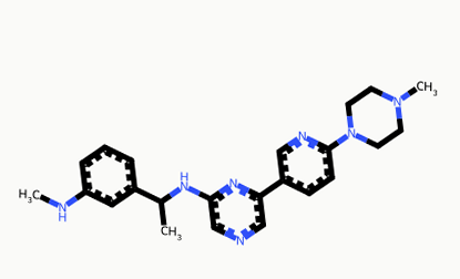 CNc1cccc(C(C)Nc2cncc(-c3ccc(N4CCN(C)CC4)nc3)n2)c1